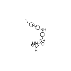 CCCC1CCN(c2ccc(Nc3ccc(CNC(=O)[C@H]4CNC(=O)N4)cc3)cc2)CC1